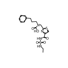 CCNS(=O)(=O)NC(=O)c1csc(CN(CCCc2ccccc2)C(=O)O)n1